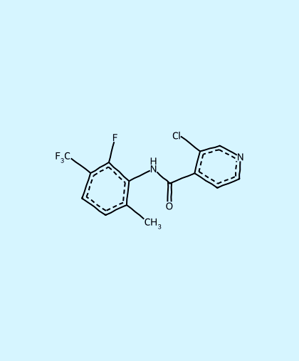 Cc1ccc(C(F)(F)F)c(F)c1NC(=O)c1ccncc1Cl